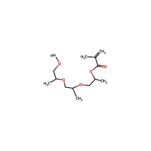 C=C(C)C(=O)OC(C)COC(C)COC(C)COCCC